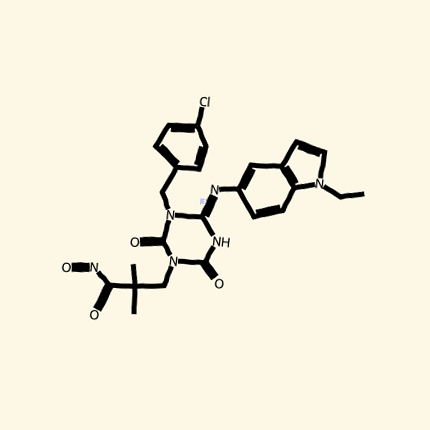 CCn1ccc2cc(/N=c3\[nH]c(=O)n(CC(C)(C)C(=O)N=O)c(=O)n3Cc3ccc(Cl)cc3)ccc21